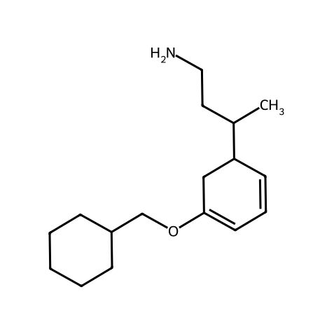 CC(CCN)C1C=CC=C(OCC2CCCCC2)C1